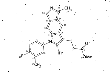 COC(=O)CCc1c(C(C)C)n(-c2ccc(F)c(C)c2)c2cc3cnn(C)c3cc12